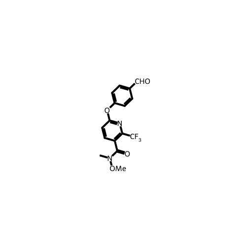 CON(C)C(=O)c1ccc(Oc2ccc(C=O)cc2)nc1C(F)(F)F